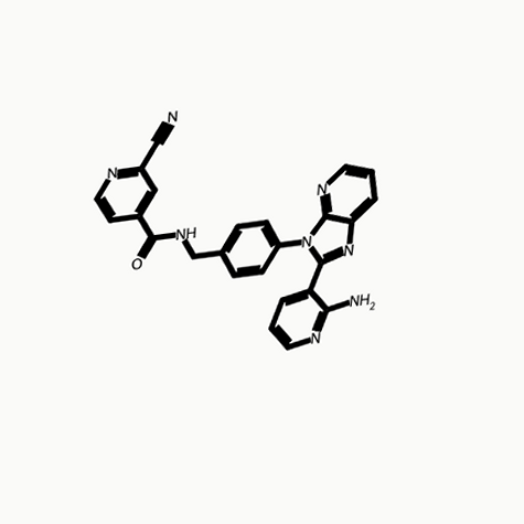 N#Cc1cc(C(=O)NCc2ccc(-n3c(-c4cccnc4N)nc4cccnc43)cc2)ccn1